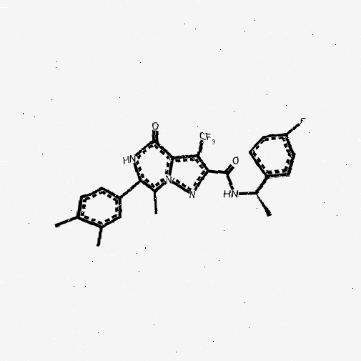 Cc1ccc(-c2[nH]c(=O)c3c(C(F)(F)F)c(C(=O)N[C@H](C)c4ccc(F)cc4)nn3c2C)cc1C